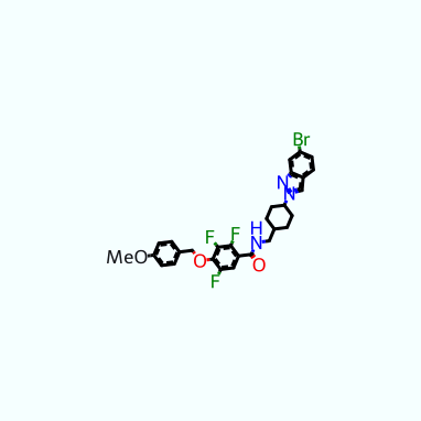 COc1ccc(COc2c(F)cc(C(=O)NCC3CCC(n4cc5ccc(Br)cc5n4)CC3)c(F)c2F)cc1